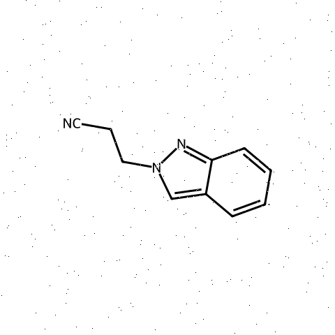 N#CCCn1cc2c[c]ccc2n1